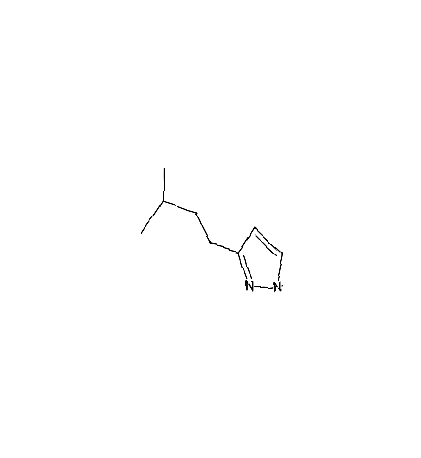 CC(C)CCC1=N[N]C=C1